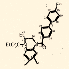 CCOC(=O)N1c2cc(C)c(C)cc2N(C(=O)c2ccc(-c3ccc(F)cc3)cc2)CC1CC